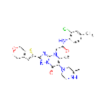 CCc1c(N2CCN[C@H](C)C2)c(=O)n2nc(-c3cc4c(s3)COCC4)nc2n1CC(=O)Nc1ccc(C(F)(F)F)cc1Cl